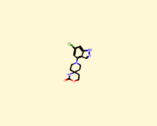 O=C1NC2(CCO1)CCN(c1cc(Cl)cc3[nH]ncc13)CC2